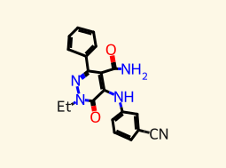 CCn1nc(-c2ccccc2)c(C(N)=O)c(Nc2cccc(C#N)c2)c1=O